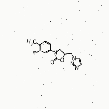 Cc1ccc(N2CC(Cn3ccnn3)OC2=O)cc1F